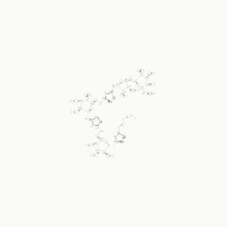 CCOCc1cn(C[C@H]2O[C@H](OCc3cn(C[C@H]4O[C@H](OCc5cn(C[C@H]6OC(O[C@H]7O[C@H](CO)[C@H](Cl)[C@H](O)[C@H]7O)[C@@H](O)[C@@H]6O)nn5)[C@@H](O)[C@@H](O)[C@@H]4O)nn3)[C@@H](O)[C@@H](O)[C@@H]2O)nn1